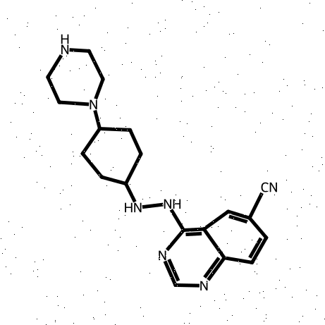 N#Cc1ccc2ncnc(NNC3CCC(N4CCNCC4)CC3)c2c1